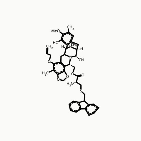 C=CCOc1c(C)c2c(c3c1CC1[C@@H]4c5c(cc(C)c(OC)c5O)C[C@@H]([C@H](C#N)N1[C@H]3COC(=O)[C@@H](N)CSCC1c3ccccc3-c3ccccc31)N4C)OCO2